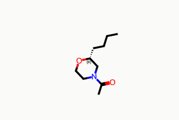 CCCC[C@@H]1CN(C(C)=O)CCO1